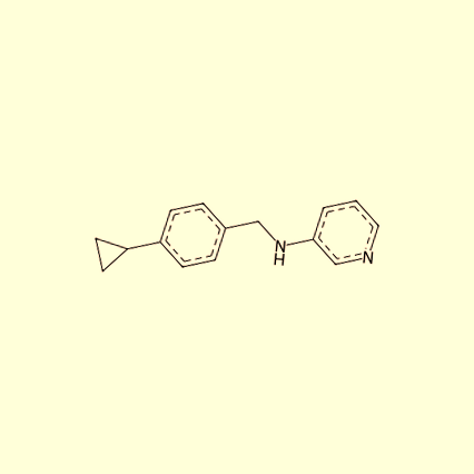 c1cncc(NCc2ccc(C3CC3)cc2)c1